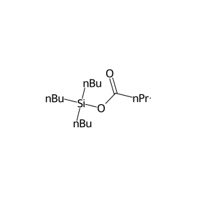 CC[CH]C(=O)O[Si](CCCC)(CCCC)CCCC